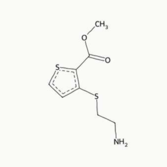 COC(=O)c1sccc1SCCN